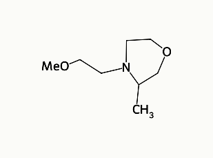 COCCN1CCOCC1C